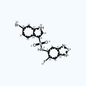 O=S(=O)(Nc1cc2nsnc2cc1F)c1c[nH]c2cc(Br)ccc12